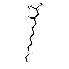 CCNCCCCCCC(=O)CC(C)C